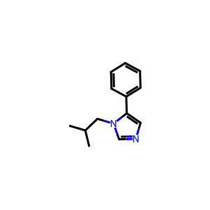 CC(C)Cn1cncc1-c1ccccc1